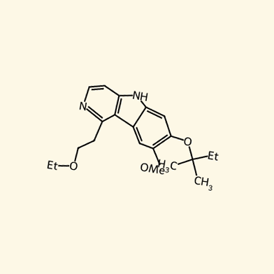 [CH2]CC(C)(C)Oc1cc2[nH]c3ccnc(CCOCC)c3c2cc1OC